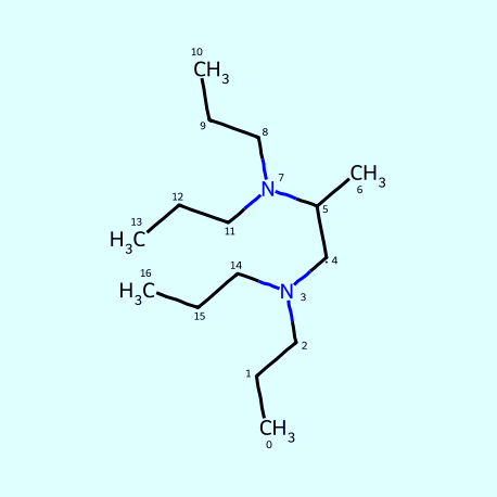 CCCN([CH]C(C)N(CCC)CCC)CCC